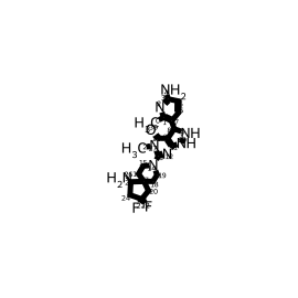 Cc1nc(N)ccc1C1NNc2nc(N3CCC4(CC3)CC(F)(F)C[C@H]4N)n(C)c(=O)c21